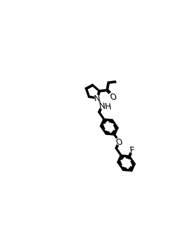 CCC(=O)C1CCCN1NCc1ccc(OCc2ccccc2F)cc1